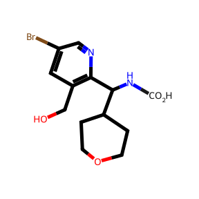 O=C(O)NC(c1ncc(Br)cc1CO)C1CCOCC1